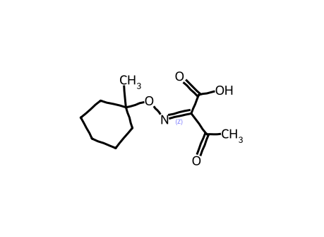 CC(=O)/C(=N/OC1(C)CCCCC1)C(=O)O